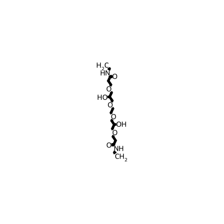 C=CNC(=O)CCOCC(O)COCCOCC(O)COCCC(=O)NC=C